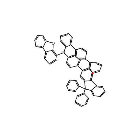 c1ccc(-c2ccc(-c3ccccc3N(c3ccc(-c4ccc5c(c4)C(c4ccccc4)(c4ccccc4)c4ccccc4-5)cc3)c3cccc4c3oc3ccccc34)cc2)cc1